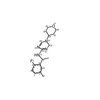 Cc1ccc(F)c(C(C)NC2=NCN(C3CCOCC3)C=N2)c1